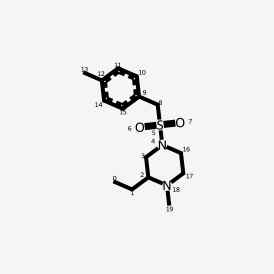 CCC1CN(S(=O)(=O)Cc2ccc(C)cc2)CCN1C